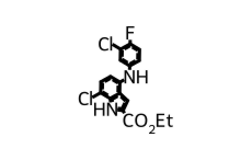 CCOC(=O)c1cc2c(Nc3ccc(F)c(Cl)c3)ccc(Cl)c2[nH]1